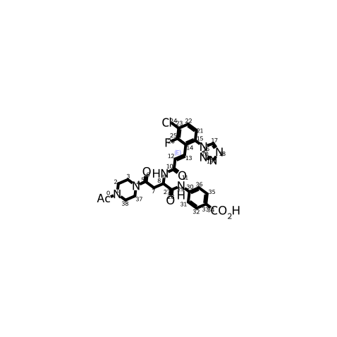 CC(=O)N1CCN(C(=O)CC(NC(=O)/C=C/c2c(-n3cnnn3)ccc(Cl)c2F)C(=O)Nc2ccc(C(=O)O)cc2)CC1